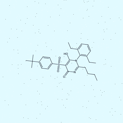 CCCCc1nc(=O)c(S(=O)(=O)c2ccc(C(C)(C)C)cc2)c(O)n1-c1c(CC)cccc1CC